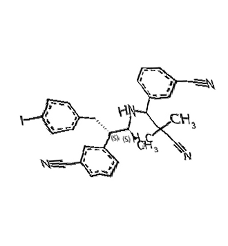 C[C@H](NC(c1cccc(C#N)c1)C(C)(C)C#N)[C@@H](Cc1ccc(I)cc1)c1cccc(C#N)c1